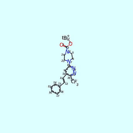 CC(C)(C)OC(=O)N1CCN(c2cc(/C=C/c3ccccc3)c(C(F)(F)F)nn2)CC1